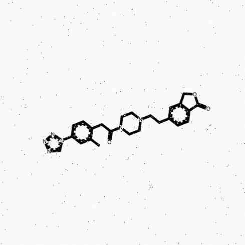 Cc1cc(-n2cnnn2)ccc1CC(=O)N1CCN(CCc2ccc3c(c2)COC3=O)CC1